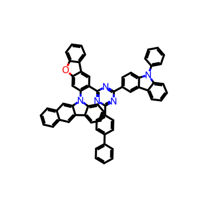 c1ccc(-c2ccc(-c3nc(-c4ccc5c(c4)c4ccccc4n5-c4ccccc4)nc(-c4cc5c(cc4-n4c6ccccc6c6cc7ccccc7cc64)oc4ccccc45)n3)cc2)cc1